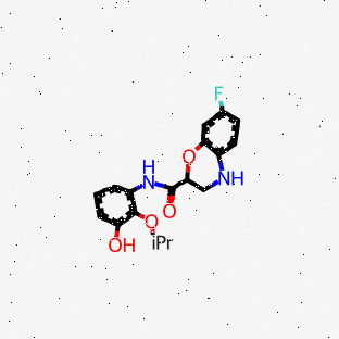 CC(C)Oc1c(O)cccc1NC(=O)C1CNc2ccc(F)cc2O1